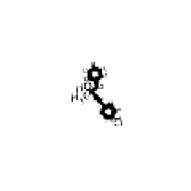 CC(O)(C#Cc1ccc(Cl)cc1)Cc1ccccc1